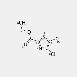 CCOC(=O)c1nc(Cl)c(Cl)s1